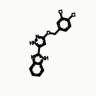 Clc1ccc(COc2cc(-c3nc4ccccc4[nH]3)[nH]n2)cc1Cl